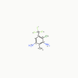 Cc1c(N)cc(C(F)(F)F)c(Cl)c1N